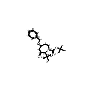 CC(C)(C)OC(=O)N1CCC(OCc2ccccc2)CC(=O)C1C(C)(C)C